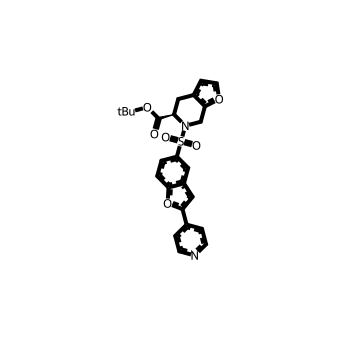 CC(C)(C)OC(=O)[C@H]1Cc2ccoc2CN1S(=O)(=O)c1ccc2oc(-c3ccncc3)cc2c1